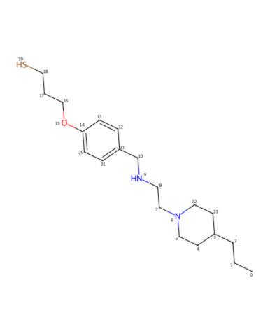 CCCC1CCN(CCNCc2ccc(OCCCS)cc2)CC1